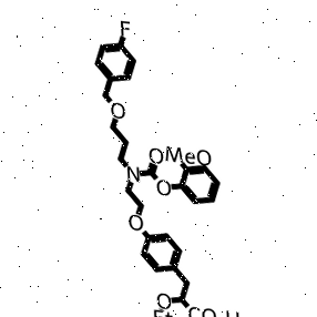 CCOC(Cc1ccc(OCCN(CCCOCc2ccc(F)cc2)C(=O)Oc2ccccc2OC)cc1)C(=O)O